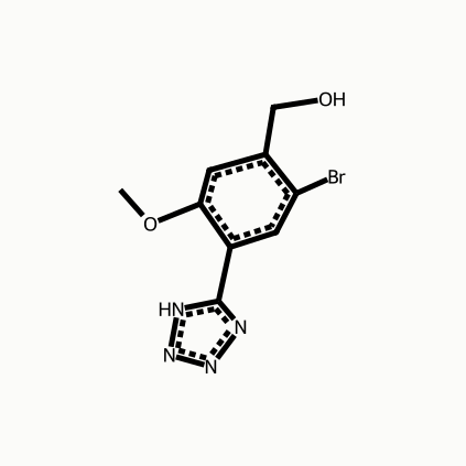 COc1cc(CO)c(Br)cc1-c1nnn[nH]1